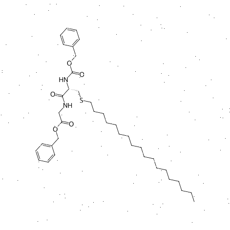 CCCCCCCCCCCCCCCCCCSC[C@@H](NC(=O)OCc1ccccc1)C(=O)NCC(=O)OCc1ccccc1